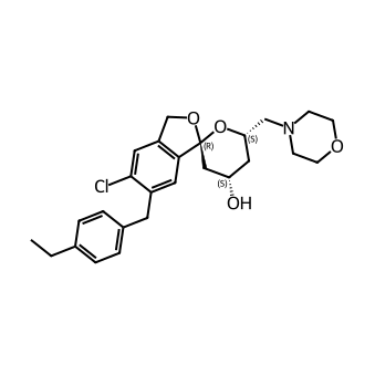 CCc1ccc(Cc2cc3c(cc2Cl)CO[C@@]32C[C@@H](O)C[C@@H](CN3CCOCC3)O2)cc1